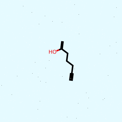 C#CCCCC(=C)O